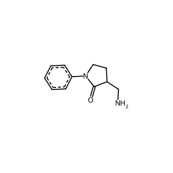 NCC1CCN(c2ccccc2)C1=O